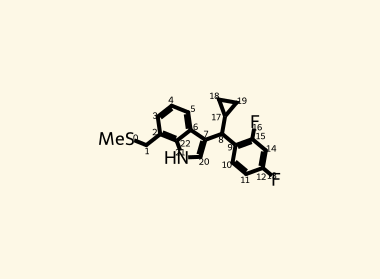 CSCc1cccc2c(C(c3ccc(F)cc3F)C3CC3)c[nH]c12